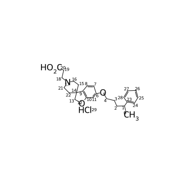 CC(CCCOc1ccc2c(c1)OCC21CCN(CCC(=O)O)CC1)c1ccccc1.Cl